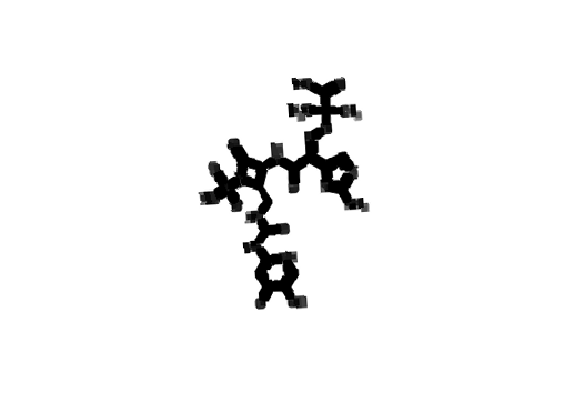 CC(C)(ON=C(C(=O)N[C@@H]1C(=O)N(S(=O)(=O)O)[C@@H]1CNC(=O)Nc1cc(=O)c(O)c[nH]1)c1csc(N)n1)C(=O)O